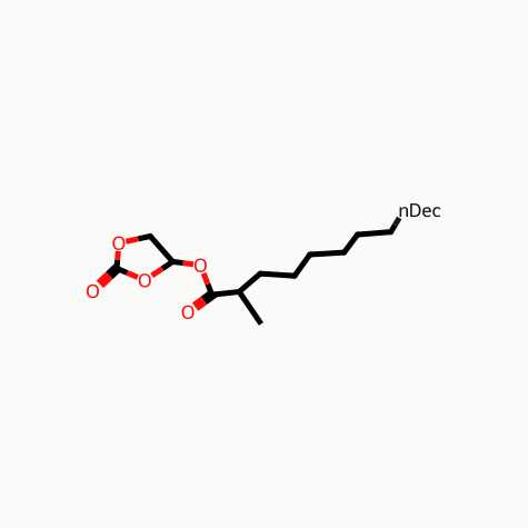 CCCCCCCCCCCCCCCCC(C)C(=O)OC1COC(=O)O1